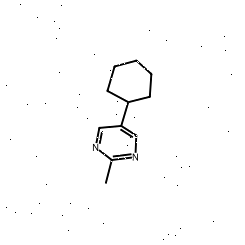 Cc1ncc(C2CCCCC2)cn1